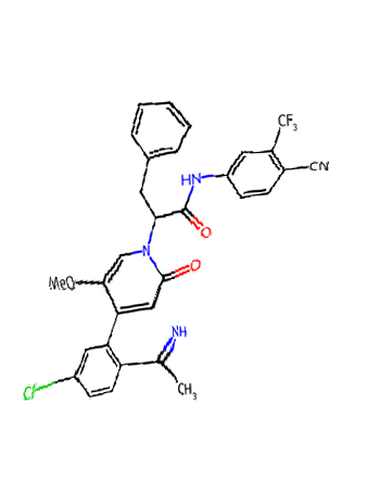 COc1cn(C(Cc2ccccc2)C(=O)Nc2ccc(C#N)c(C(F)(F)F)c2)c(=O)cc1-c1cc(Cl)ccc1C(C)=N